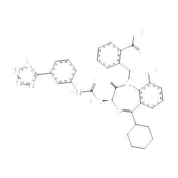 CC(=O)c1ccccc1CN1C(=O)[C@H](NC(=O)Nc2cccc(-c3nnn[nH]3)c2)N=C(C2CCCCC2)c2cccc(C)c21